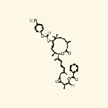 CCC(OC(=O)c1ccccc1)C(C)C1OC1CC(C)/C=C/C=C(\C)C1OC(=O)CC(C)CCC(C)(C)C(OC(=O)Oc2ccc([N+](=O)[O-])cc2)/C=C/C1C